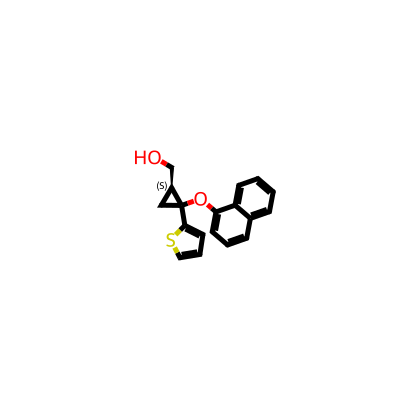 OC[C@@H]1CC1(Oc1cccc2ccccc12)c1cccs1